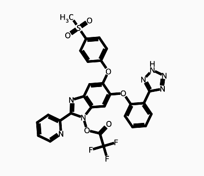 CS(=O)(=O)c1ccc(Oc2cc3nc(-c4ccccn4)n(OC(=O)C(F)(F)F)c3cc2Oc2ccccc2-c2nn[nH]n2)cc1